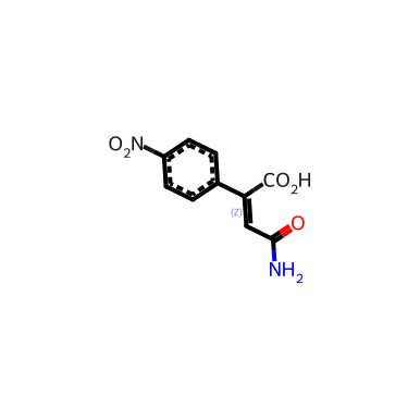 NC(=O)/C=C(\C(=O)O)c1ccc([N+](=O)[O-])cc1